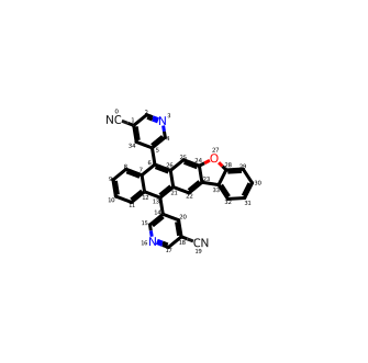 N#Cc1cncc(-c2c3ccccc3c(-c3cncc(C#N)c3)c3cc4c(cc23)oc2ccccc24)c1